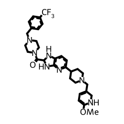 COC1=CC=C(CN2CCC(c3ccc4c(n3)NC(C(=O)N3CCN(Cc5ccc(C(F)(F)F)cc5)CC3)N4)CC2)CN1